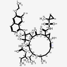 CCOc1cc2ccnc(O[C@]3(C)C[C@H]4C(=O)NC5(C(=O)NS(=O)(=O)C6(C)CC6)C[C@H]5/C=C\CC[C@@H](C)O[C@@H](CC)[C@H](N(C(=O)O)C(C)CC)C(=O)N4C3(F)F)c2cc1F